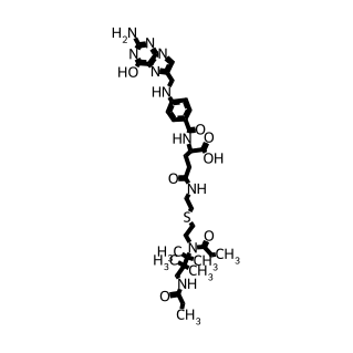 CCC(=O)NCC(C)(C)C(C)(C)N(CCSCCNC(=O)CCC(NC(=O)c1ccc(NCc2cnc3nc(N)nc(O)c3n2)cc1)C(=O)O)C(=O)CC